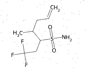 C=CCC(C)C(CC(F)(F)F)S(N)(=O)=O